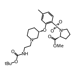 COC(=O)[C@@H]1CCCN1S(=O)(=O)c1ccc(C)cc1O[C@@H]1CCCN(CCNC(=O)OC(C)(C)C)C1